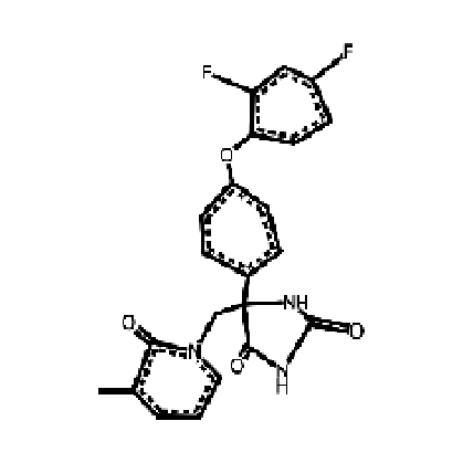 Cc1cccn(CC2(c3ccc(Oc4ccc(F)cc4F)cc3)NC(=O)NC2=O)c1=O